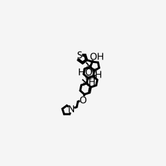 C[C@]12CCC(OCCN3CCCC3)C=C1CC[C@@H]1[C@H]2CC[C@]2(C)C(O)(c3ccsc3)CC[C@@]12O